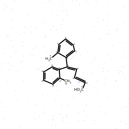 Cc1ccccc1C(=C/C=C/C(=O)O)c1ccccc1C